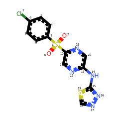 O=S(=O)(c1ccc(Cl)cc1)c1cnc(Nc2nncs2)cn1